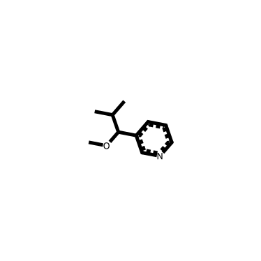 COC(c1cccnc1)C(C)C